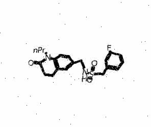 CCCN1C(=O)CCc2cc(CNS(=O)(=O)Cc3cccc(F)c3)ccc21